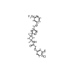 CC1(NC(=O)COc2ccc(Cl)c(F)c2)CC(C)(c2nc(COc3ccnc(C(F)(F)F)c3)no2)C1